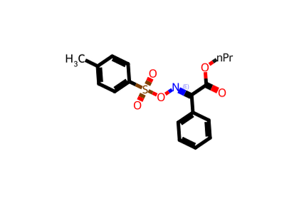 CCCOC(=O)/C(=N/OS(=O)(=O)c1ccc(C)cc1)c1ccccc1